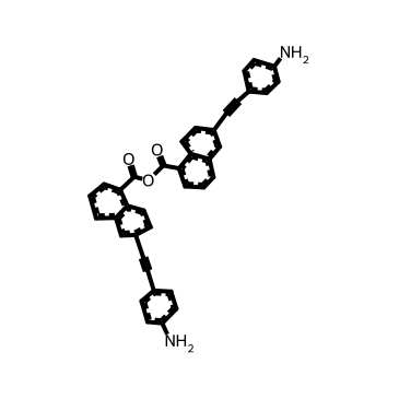 Nc1ccc(C#Cc2ccc3c(C(=O)OC(=O)c4cccc5cc(C#Cc6ccc(N)cc6)ccc45)cccc3c2)cc1